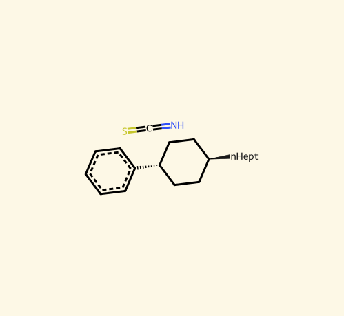 CCCCCCC[C@H]1CC[C@H](c2ccccc2)CC1.N=C=S